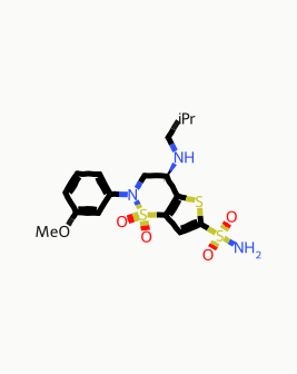 COc1cccc(N2C[C@@H](NCC(C)C)c3sc(S(N)(=O)=O)cc3S2(=O)=O)c1